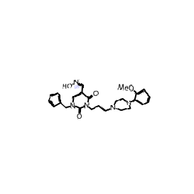 COc1ccccc1N1CCN(CCCn2c(=O)c(/C=N\O)cn(Cc3ccccc3)c2=O)CC1